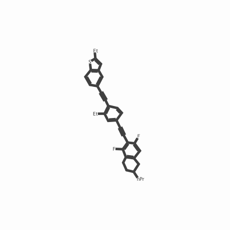 CCCC1CCc2c(cc(F)c(C#Cc3ccc(C#Cc4ccc5sc(CC)cc5c4)c(CC)c3)c2F)C1